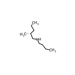 CCCCNC[C@H](C)CCC